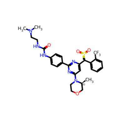 C[C@H]1COCCN1c1cc(C(c2ccccc2C(F)(F)F)=S(=O)=O)nc(-c2ccc(NC(=O)NCCN(C)C)cc2)n1